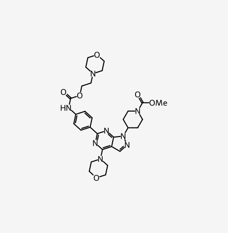 COC(=O)N1CCC(n2ncc3c(N4CCOCC4)nc(-c4ccc(NC(=O)OCCN5CCOCC5)cc4)nc32)CC1